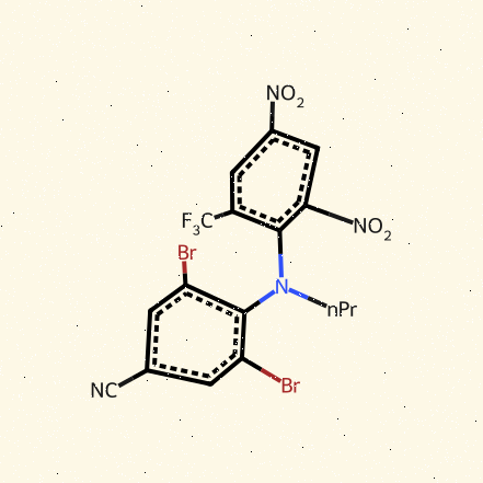 CCCN(c1c(Br)cc(C#N)cc1Br)c1c([N+](=O)[O-])cc([N+](=O)[O-])cc1C(F)(F)F